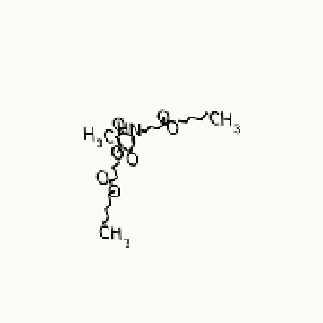 CCCCCCOC(=O)CCCNC1=CC(=O)C(OCCCC(=O)OCCCCCC)=C(C)C1=O